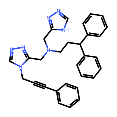 C(#Cc1ccccc1)Cn1cnnc1CN(CCC(c1ccccc1)c1ccccc1)Cc1nnc[nH]1